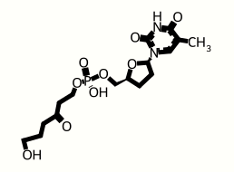 Cc1cn([C@H]2CC[C@@H](COP(=O)(O)OCCC(=O)CCCO)O2)c(=O)[nH]c1=O